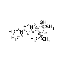 CCN(CC)C1CCN(Cc2cc(C(C)C)cc(C)c2O)CC1